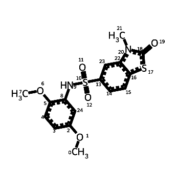 COc1ccc(OC)c(NS(=O)(=O)c2ccc3sc(=O)n(C)c3c2)c1